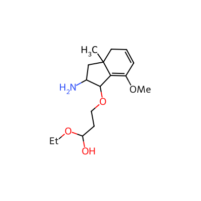 CCOC(O)CCOC1C2=C(OC)C=CCC2(C)CC1N